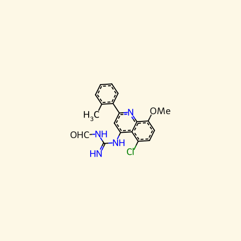 COc1ccc(Cl)c2c(NC(=N)NC=O)cc(-c3ccccc3C)nc12